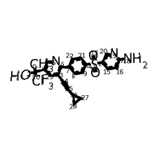 CC(O)(c1cnc(-c2ccc(S(=O)(=O)c3ccc(N)nc3)cc2)c(C#CC2CC2)c1)C(F)(F)F